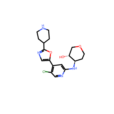 O[C@@H]1COCC[C@H]1Nc1cc(-c2cnc(C3CCNCC3)o2)c(Cl)cn1